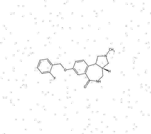 CN1CC2c3ccc(OCc4ccccc4F)cc3C(=O)NC[C@H]2C1